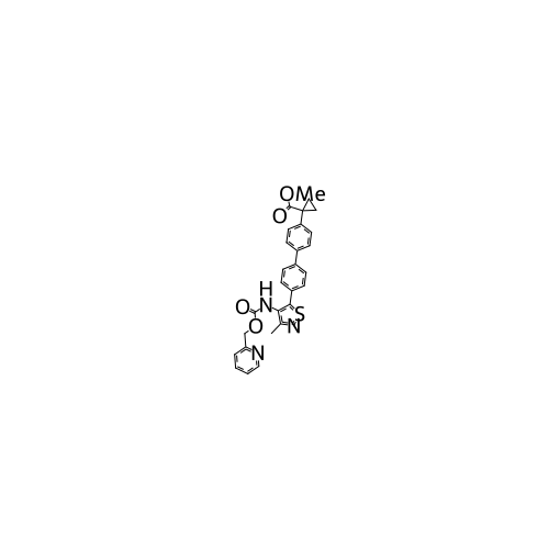 COC(=O)C1(c2ccc(-c3ccc(-c4snc(C)c4NC(=O)OCc4ccccn4)cc3)cc2)CC1